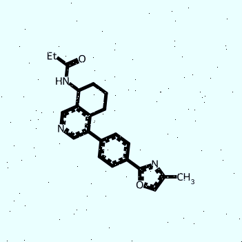 CCC(=O)NC1CCCc2c(-c3ccc(-c4nc(C)co4)cc3)cncc21